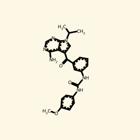 COc1ccc(NC(=O)Nc2cccc(C(=O)c3cn(C(C)C)c4ncnc(N)c34)c2)cc1